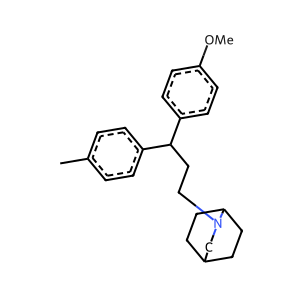 COc1ccc(C(CCN2CC3CCC2CC3)c2ccc(C)cc2)cc1